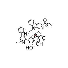 CCOC(=O)c1cc2c3ccccc3n(CCCn3c4ccccc4c4cc(CC)nc(-c5cc(CO)c(CO)c(OC)c5)c43)c2c(-c2cc(OC)c(OC)c(OC)c2)n1